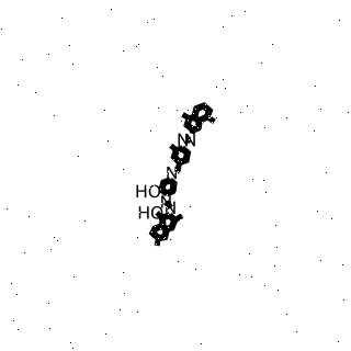 Cc1ccc2c(O)c(N=Nc3ccc(N=Cc4ccc(N=Nc5cc(C)c6cccc(C)c6c5)c(C)c4)cc3O)c(C)cc2c1